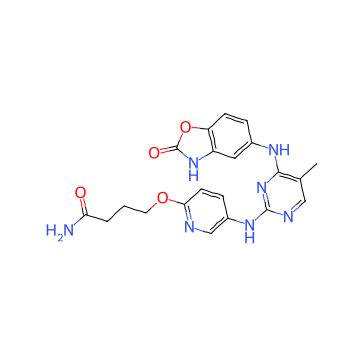 Cc1cnc(Nc2ccc(OCCCC(N)=O)nc2)nc1Nc1ccc2oc(=O)[nH]c2c1